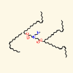 CCCCC/C=C\C/C=C\CCCCCCCCC(CCCCCCCC/C=C\C/C=C\CCCCC)COC(=O)CCN(CCC(=O)OCC(CCCCCCCC/C=C\C/C=C\CCCCC)CCCCCCCC/C=C\C/C=C\CCCCC)CCN(C)C